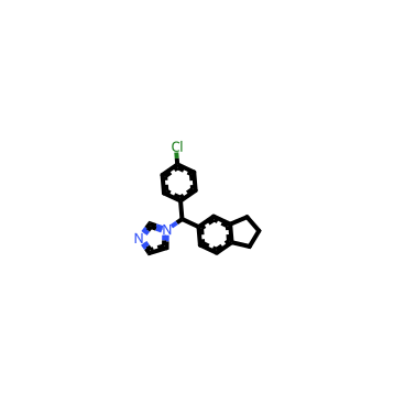 Clc1ccc(C(c2ccc3c(c2)CCC3)n2ccnc2)cc1